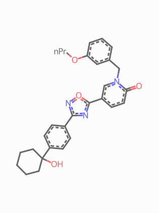 CCCOc1cccc(Cn2cc(-c3nc(-c4ccc(C5(O)CCCCC5)cc4)no3)ccc2=O)c1